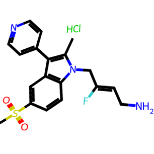 Cc1c(-c2ccncc2)c2cc(S(C)(=O)=O)ccc2n1C/C(F)=C/CN.Cl